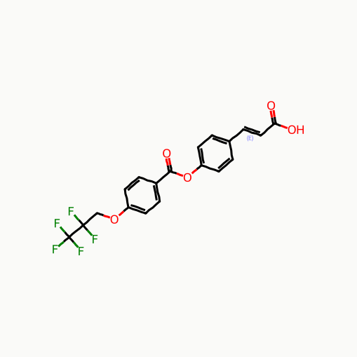 O=C(O)/C=C/c1ccc(OC(=O)c2ccc(OCC(F)(F)C(F)(F)F)cc2)cc1